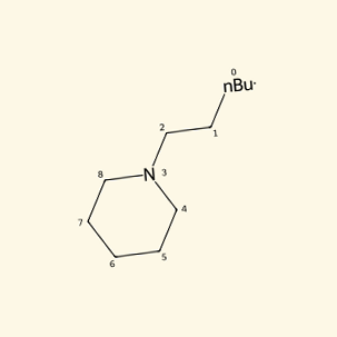 CCC[CH]CCN1CCCCC1